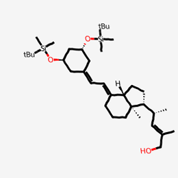 C/C(=C\[C@@H](C)[C@H]1CC[C@H]2/C(=C/C=C3C[C@@H](O[Si](C)(C)C(C)(C)C)C[C@H](O[Si](C)(C)C(C)(C)C)C3)CCC[C@]12C)CO